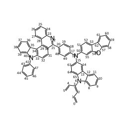 C=C/C=C(\C=C)n1c2ccccc2c2cc(N(c3ccc(-c4nc5ccccc5c5c4ccc4c5c5ccccc5n4-c4ccccc4)cc3)c3ccc4c(c3)oc3ccccc34)ccc21